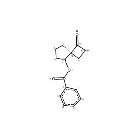 O=C(ON1CCC[C@]12CNC2=O)c1ccccc1